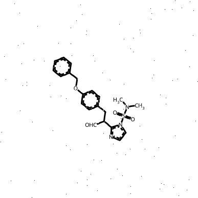 CN(C)S(=O)(=O)n1ccnc1C(C=O)Cc1ccc(OCc2ccccc2)cc1